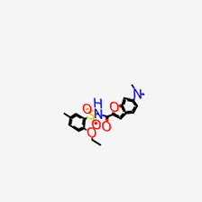 CCOc1ccc(C)cc1S(=O)(=O)NC(=O)c1cc2ccc(N(C)C)cc2o1